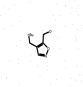 CCCCCc1cnoc1C[O]